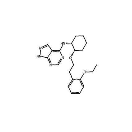 CCOc1ccccc1CCO[C@@H]1CCCC[C@H]1Nc1ncnc2[nH]ncc12